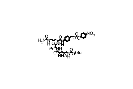 CC(=O)N[C@@H](CCCNC(=O)OC(C)(C)C)C(=O)N[C@H](C(=O)N[C@@H](CCCNC(N)=O)C(=O)Nc1ccc(COC(=O)Oc2ccc([N+](=O)[O-])cc2)cc1)C(C)C